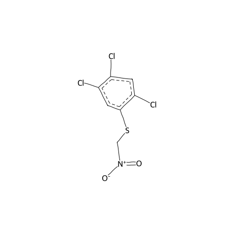 O=[N+]([O-])CSc1cc(Cl)c(Cl)cc1Cl